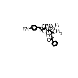 CC(C)c1ccc(CSC(C)(C)[C@H](NC(=O)[C@H](C)CSC(=O)c2ccccc2)C(=O)O)cc1